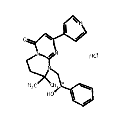 CC1(C)CCn2c(nc(-c3ccncc3)cc2=O)N1C[C@H](O)c1ccccc1.Cl